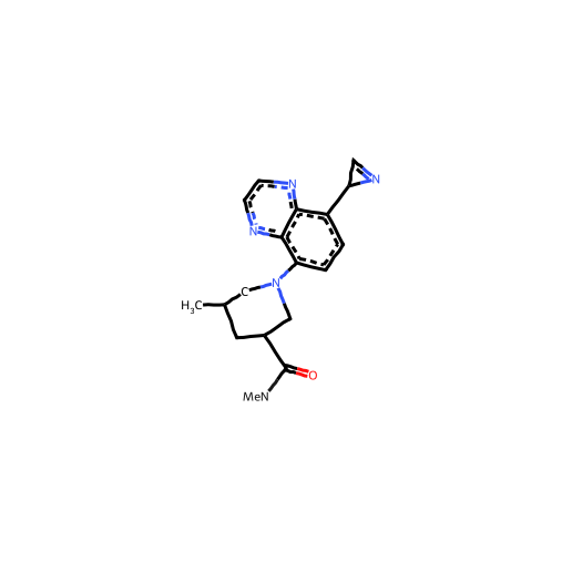 CNC(=O)C1CC(C)CN(c2ccc(C3C=N3)c3nccnc23)C1